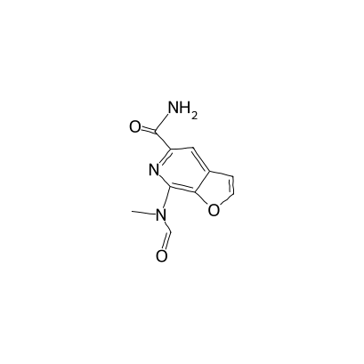 CN(C=O)c1nc(C(N)=O)cc2ccoc12